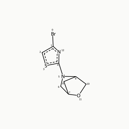 Brc1csc(N2CC3CC2CO3)n1